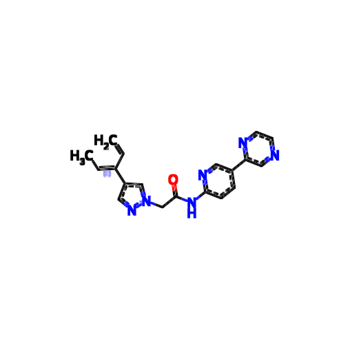 C=C/C(=C\C)c1cnn(CC(=O)Nc2ccc(-c3cnccn3)cn2)c1